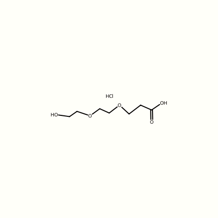 Cl.O=C(O)CCOCCOCCO